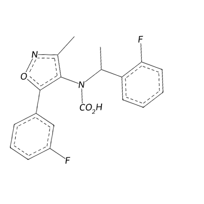 Cc1noc(-c2cccc(F)c2)c1N(C(=O)O)C(C)c1ccccc1F